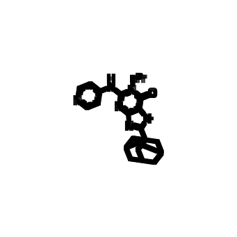 CCCn1c(Nc2ccncc2)nc2c(c1=O)[N]C(C13CC4CC(CC(C4)C1)C3)=N2